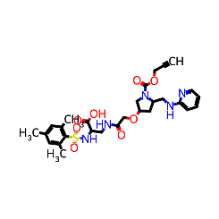 C#CCOC(=O)N1CC(OCC(=O)NCC(NS(=O)(=O)c2c(C)cc(C)cc2C)C(=O)O)CC1CNc1ccccn1